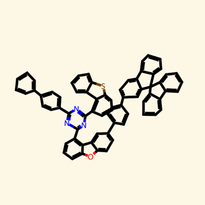 c1ccc(-c2ccc(-c3nc(-c4cccc5oc6ccc(-c7ccc(-c8ccc9c(c8)C8(c%10ccccc%10-c%10ccccc%108)c8ccccc8-9)cc7)cc6c45)nc(-c4cccc5sc6ccccc6c45)n3)cc2)cc1